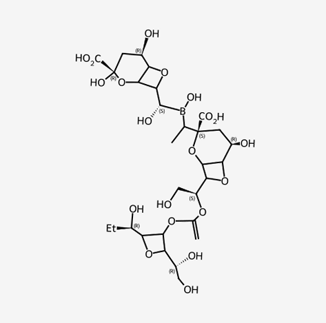 C=C(OC1C([C@H](O)CC)OC1[C@H](O)CO)O[C@@H](CO)C1OC2C1O[C@](C(=O)O)(C(C)B(O)[C@H](O)C1OC3C1O[C@@](O)(C(=O)O)C[C@H]3O)C[C@H]2O